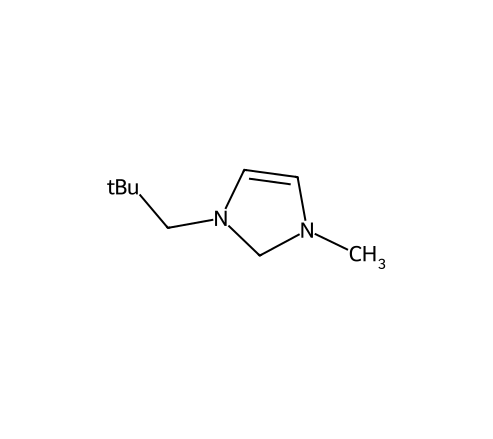 CN1C=CN(CC(C)(C)C)C1